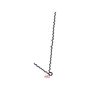 CCCCCCCCCCCCCCCCCCCCCCCCCCCCCCCCCCCCCCCCc1cccc(O)c1CCCCCCCCCCCC